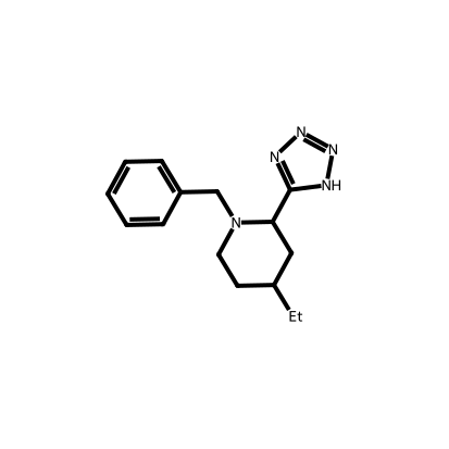 CCC1CCN(Cc2ccccc2)C(c2nnn[nH]2)C1